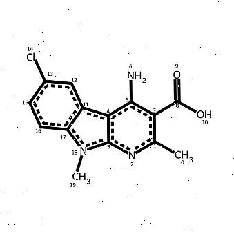 Cc1nc2c(c(N)c1C(=O)O)c1cc(Cl)ccc1n2C